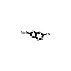 CSc1nc2nnc(C#N)nc2s1